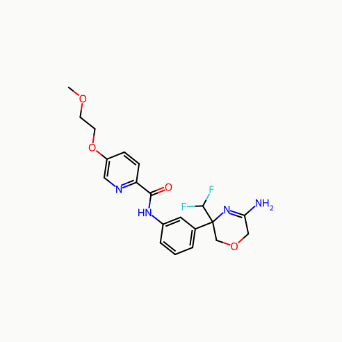 COCCOc1ccc(C(=O)Nc2cccc(C3(C(F)F)COCC(N)=N3)c2)nc1